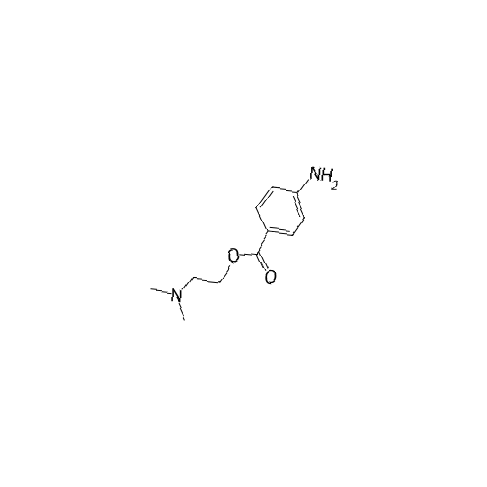 CN(C)CCOC(=O)c1ccc(N)cc1